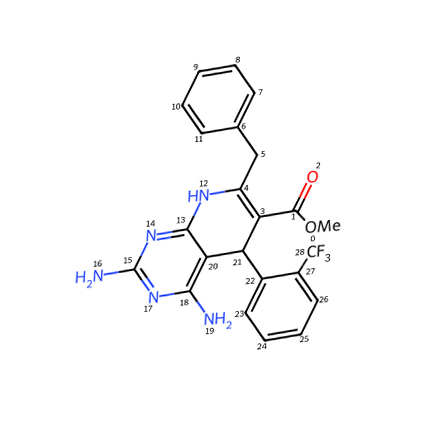 COC(=O)C1=C(Cc2ccccc2)Nc2nc(N)nc(N)c2C1c1ccccc1C(F)(F)F